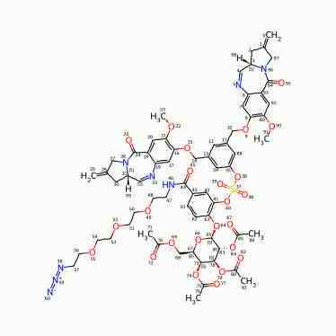 C=C1C[C@H]2C=Nc3cc(OCc4cc(COc5cc6c(cc5OC)C(=O)N5CC(=C)C[C@H]5C=N6)cc(OS(=O)(=O)Oc5cc(C(=O)NCCOCCOCCOCCN=[N+]=[N-])ccc5O[C@@H]5O[C@H](COC(C)=O)[C@H](OC(C)=O)[C@H](OC(C)=O)[C@H]5OC(C)=O)c4)c(OC)cc3C(=O)N2C1